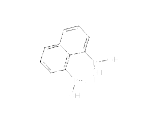 OB(O)c1[c]ccc2cccc(B(O)O)c12